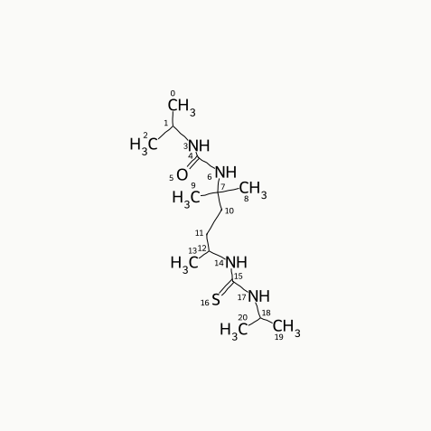 CC(C)NC(=O)NC(C)(C)CCC(C)NC(=S)NC(C)C